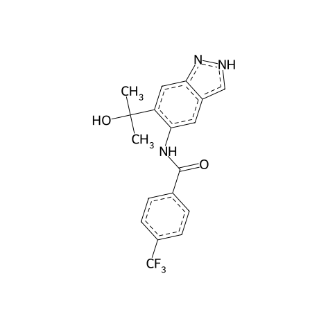 CC(C)(O)c1cc2n[nH]cc2cc1NC(=O)c1ccc(C(F)(F)F)cc1